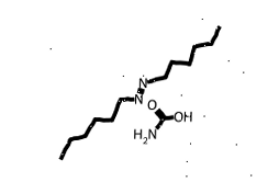 CCCCCCN=NCCCCCC.NC(=O)O